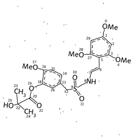 COc1cc(OC)c(C=CNS(=O)(=O)Cc2ccc(OC)c(OC(=O)C(C)(C)O)c2)c(OC)c1